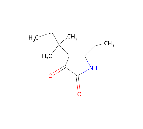 CCC1=C(C(C)(C)CC)C(=O)C(=O)N1